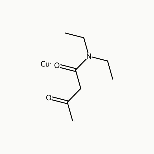 CCN(CC)C(=O)CC(C)=O.[Cu]